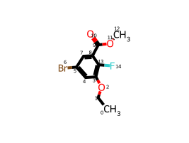 CCOc1cc(Br)cc(C(=O)OC)c1F